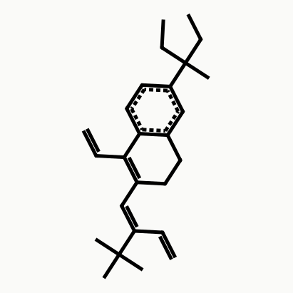 C=CC1=C(/C=C(\C=C)C(C)(C)C)CCc2cc(C(C)(CC)CC)ccc21